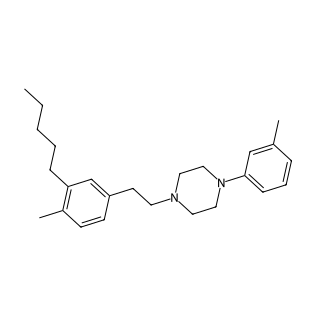 CCCCCc1cc(CCN2CCN(c3cccc(C)c3)CC2)ccc1C